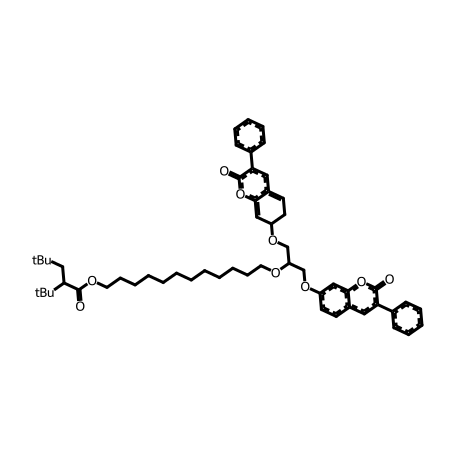 CC(C)(C)CC(C(=O)OCCCCCCCCCCCCOC(COc1ccc2cc(-c3ccccc3)c(=O)oc2c1)COC1C=c2oc(=O)c(-c3ccccc3)cc2=CC1)C(C)(C)C